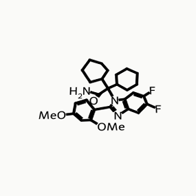 COc1ccc(-c2nc3cc(F)c(F)cc3n2C(C(N)=O)(C2CCCCC2)C2CCCCC2)c(OC)c1